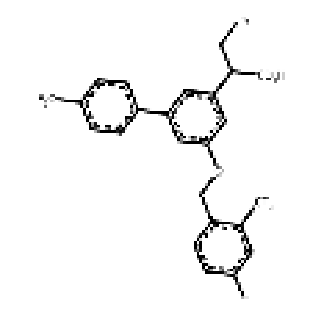 CC(C)CC(C(=O)O)c1cc(OCc2ccc(F)cc2C(F)(F)F)cc(-c2ccc(C(F)(F)F)cc2)c1